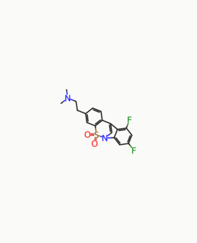 CN(C)CCc1ccc2c(c1)S(=O)(=O)n1cc-2c2c(F)cc(F)cc21